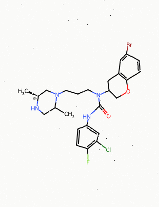 CC1CN[C@@H](C)CN1CCCN(C(=O)Nc1ccc(F)c(Cl)c1)C1COc2ccc(Br)cc2C1